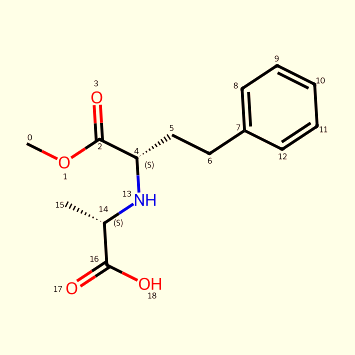 COC(=O)[C@H](CCc1ccccc1)N[C@@H](C)C(=O)O